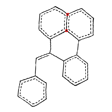 C(=C(c1ccccc1)c1ccccc1-c1ccccc1)c1ccccc1